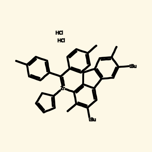 Cc1ccc([C](c2ccc(C)cc2)=[Zr]([C]2=CC=CC2)[c]2c(C)c(C(C)(C)C)cc3c2Cc2cc(C)c(C(C)(C)C)cc2-3)cc1.Cl.Cl